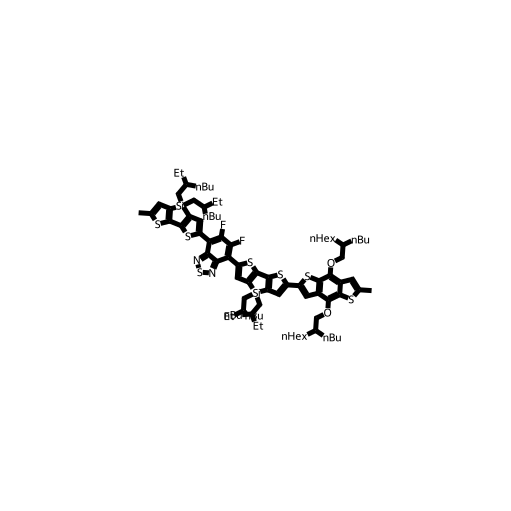 CCCCCCC(CCCC)COc1c2cc(-c3cc4c(s3)-c3sc(-c5c(F)c(F)c(-c6cc7c(s6)-c6sc(C)cc6[Si]7(CC(CC)CCCC)CC(CC)CCCC)c6nsnc56)cc3[Si]4(CC(CC)CCCC)CC(CC)CCCC)sc2c(OCC(CCCC)CCCCCC)c2cc(C)sc12